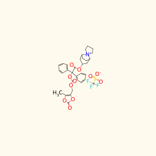 Cc1oc(=O)oc1COC(=O)OC(C(=O)OC1CC2CCC(C1)[N+]21CCCC1)(c1ccccc1)c1ccccc1.O=S(=O)([O-])C(F)(F)F